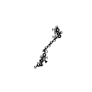 CN(CCOCCOCCOCCOCCNc1cccc2c1C(=O)N(C1CCC(=O)NC1=O)C2=O)C(=O)[C@H]1CC[C@H](NC(=O)c2cnc(-n3ncc4cc(C#N)cnc43)cc2NC2CC2)CC1